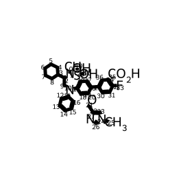 CN1C(C2CCCCC2)CN(c2ccccc2)c2cc(OCc3cn(C)cn3)c(-c3ccc(F)c(C(=O)O)c3)cc2S1(O)O